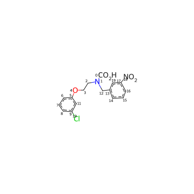 O=C(O)N(CCOc1cccc(Cl)c1)Cc1cccc([N+](=O)[O-])c1